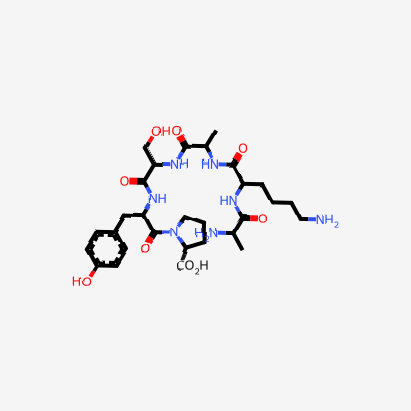 CC(N)C(=O)NC(CCCCN)C(=O)NC(C)C(=O)NC(CO)C(=O)NC(Cc1ccc(O)cc1)C(=O)N1CCCC1C(=O)O